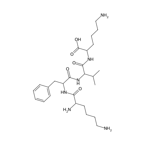 CC(C)C(NC(=O)C(Cc1ccccc1)NC(=O)C(N)CCCCN)C(=O)NC(CCCCN)C(=O)O